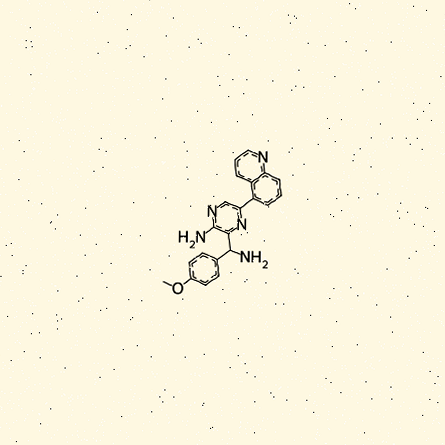 COc1ccc(C(N)c2nc(-c3cccc4ncccc34)cnc2N)cc1